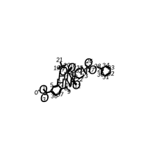 COC(=O)c1ccc([C@H](C)NC(=O)C2(NC(=O)OC(C)(C)C)CCN(C(=O)OCc3ccccc3)CC2)cc1